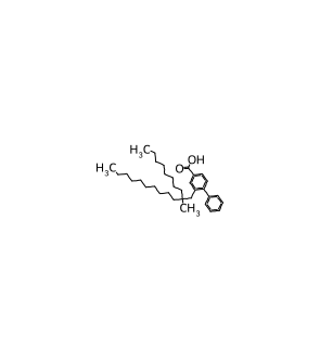 CCCCCCCCCCC(C)(CCCCCCCC)Cc1cc(C(=O)O)ccc1-c1ccccc1